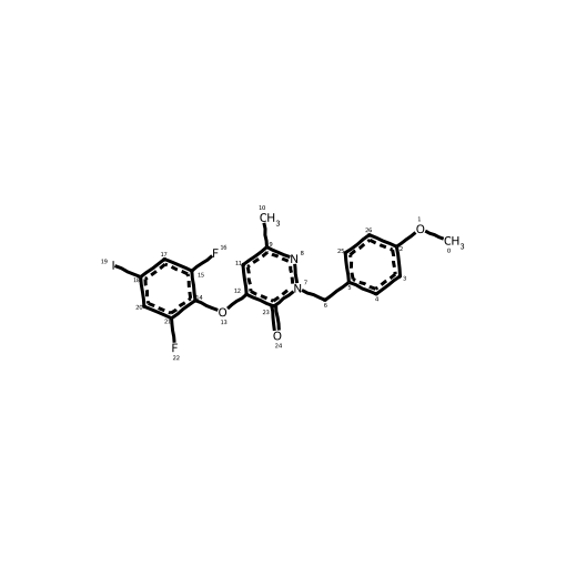 COc1ccc(Cn2nc(C)cc(Oc3c(F)cc(I)cc3F)c2=O)cc1